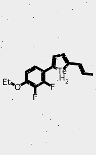 CC=CC1=CC=C(c2ccc(OCC)c(F)c2F)[TeH2]1